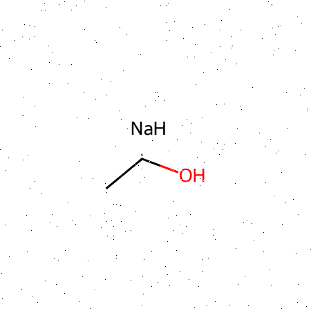 C[CH]O.[NaH]